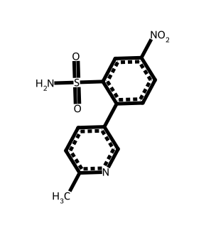 Cc1ccc(-c2ccc([N+](=O)[O-])cc2S(N)(=O)=O)cn1